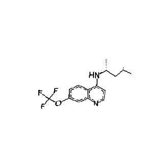 C[CH]C[C@@H](C)Nc1ccnc2cc(OC(F)(F)F)ccc12